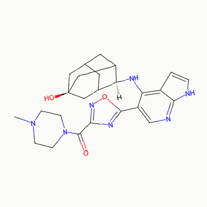 CN1CCN(C(=O)c2noc(-c3cnc4[nH]ccc4c3N[C@H]3C4CC5CC3C[C@@](O)(C5)C4)n2)CC1